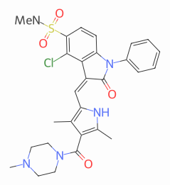 CNS(=O)(=O)c1ccc2c(c1Cl)C(=Cc1[nH]c(C)c(C(=O)N3CCN(C)CC3)c1C)C(=O)N2c1ccccc1